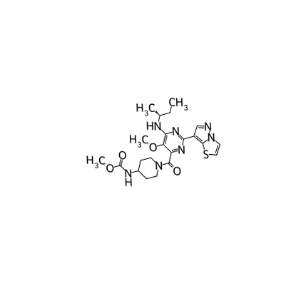 CC[C@H](C)Nc1nc(-c2cnn3ccsc23)nc(C(=O)N2CCC(NC(=O)OC)CC2)c1OC